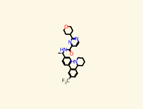 C[C@@H](NC(=O)c1ccnc(C2CCOCC2)n1)c1ccc(-c2cc(C(F)(F)F)ccc2C2CCCCN2)cc1